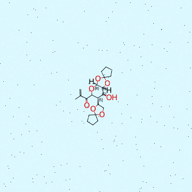 C=C(C)C(=O)C1O[C@@H]2OC3(CCCC3)O[C@@H]2[C@@H](O)[C@H]1C1COC2(CCCC2)O1